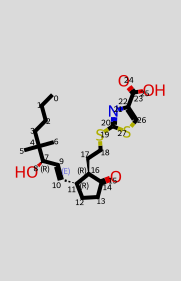 CCCCC(C)(C)[C@H](O)/C=C/[C@H]1CCC(=O)[C@@H]1CCSc1nc(C(=O)O)cs1